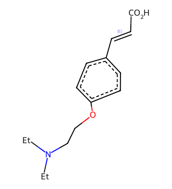 CCN(CC)CCOc1ccc(/C=C/C(=O)O)cc1